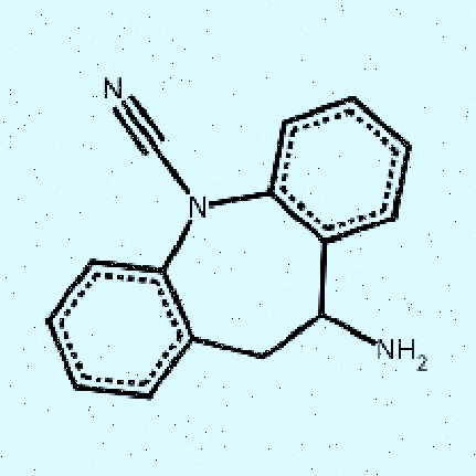 N#CN1c2ccccc2CC(N)c2ccccc21